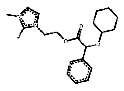 Cc1n(CCOC(=O)C(OC2CCCCC2)c2ccccc2)cc[n+]1C